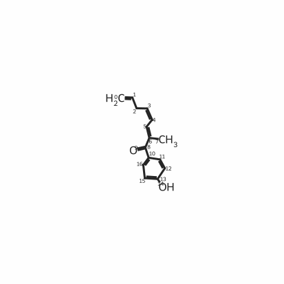 C=CC/C=C\C=C(/C)C(=O)c1ccc(O)cc1